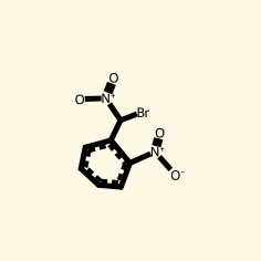 O=[N+]([O-])c1ccccc1C(Br)[N+](=O)[O-]